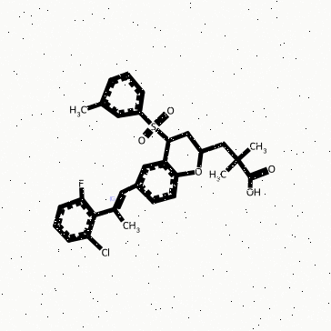 C/C(=C\c1ccc2c(c1)C(S(=O)(=O)c1cccc(C)c1)CC(CC(C)(C)C(=O)O)O2)c1c(F)cccc1Cl